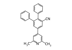 Cc1cc(-c2cc(C#N)c(-c3ccccc3)c(-c3ccccc3)c2)cc(C)n1